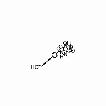 CN(C)C1(C(NC(=O)c2ccc(C#CC#CCCO)cc2)C(=O)NO)CS(=O)(=O)C1